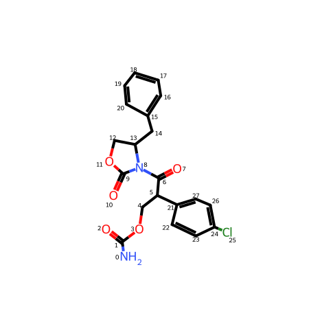 NC(=O)OCC(C(=O)N1C(=O)OCC1Cc1ccccc1)c1ccc(Cl)cc1